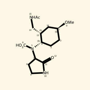 CO[C@H]1CC[C@H](N(C(=O)O)C2CCNC2=O)[C@H](CNC(C)=O)C1